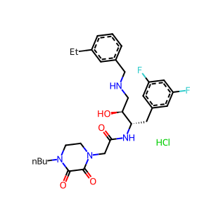 CCCCN1CCN(CC(=O)N[C@@H](Cc2cc(F)cc(F)c2)[C@@H](O)CNCc2cccc(CC)c2)C(=O)C1=O.Cl